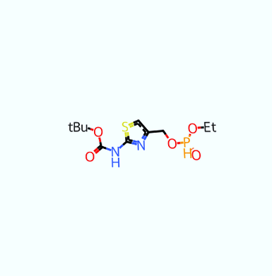 CCO[PH](=O)OCc1csc(NC(=O)OC(C)(C)C)n1